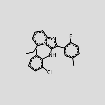 CCc1cccc2nc(-c3cc(C)ccc3F)c(Nc3c(C)cccc3Cl)n12